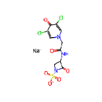 O=C(Cn1cc(Cl)c(=O)c(Cl)c1)NC1CN(S(=O)(=O)[O-])C1=O.[Na+]